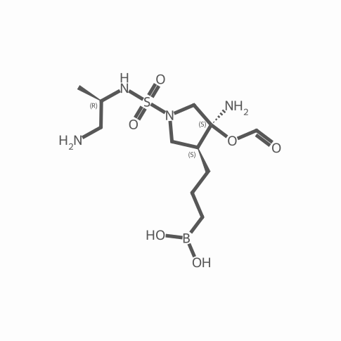 C[C@H](CN)NS(=O)(=O)N1C[C@H](CCCB(O)O)[C@](N)(OC=O)C1